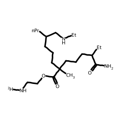 [2H]NCCOC(=O)C(C)(CCCC(CCC)CNCC)CCCC(CC)C(N)=O